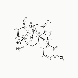 C[C@H]1CC[C@@H]2[C@@H](OC(=O)C23CN3c2cccc(Cl)c2)[C@]2(C)C(=O)C=C[C@@]12O